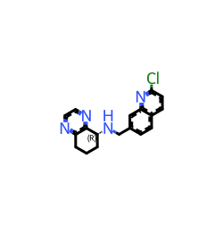 Clc1ccc2ccc(CN[C@@H]3CCCc4nccnc43)cc2n1